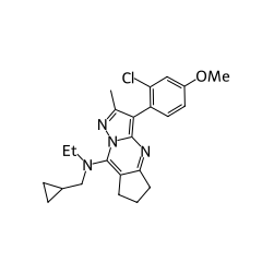 CCN(CC1CC1)c1c2c(nc3c(-c4ccc(OC)cc4Cl)c(C)nn13)CCC2